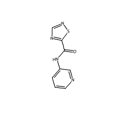 O=C(Nc1cccnc1)c1ncns1